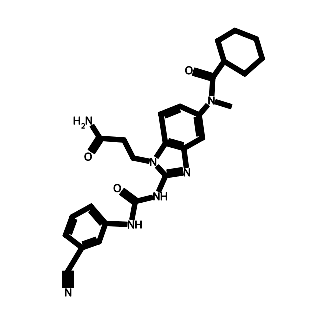 CN(C(=O)C1CCCCC1)c1ccc2c(c1)nc(NC(=O)Nc1cccc(C#N)c1)n2CCC(N)=O